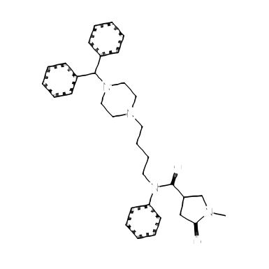 CN1CC(C(=O)N(CCCCN2CCN(C(c3ccccc3)c3ccccc3)CC2)c2ccccc2)CC1=O